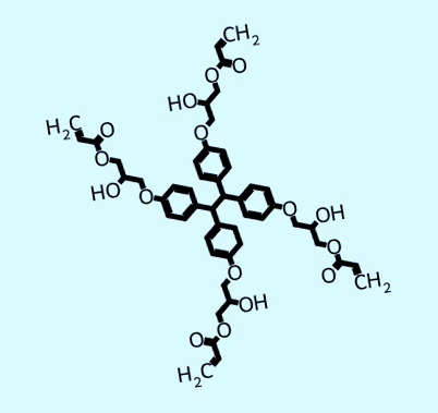 C=CC(=O)OCC(O)COC1=CC=C(C(c2ccc(OCC(O)COC(=O)C=C)cc2)C(c2ccc(OCC(O)COC(=O)C=C)cc2)c2ccc(OCC(O)COC(=O)C=C)cc2)CC1